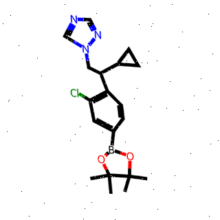 CC1(C)OB(c2ccc(C(Cn3cncn3)C3CC3)c(Cl)c2)OC1(C)C